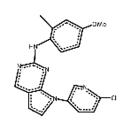 COc1ccc(Nc2ncc3ccn(-c4ccc(Cl)nc4)c3n2)c(C)c1